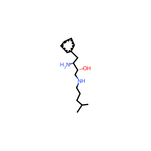 CC(C)CCCNC[C@@H](O)[C@@H](N)Cc1ccccc1